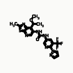 COC(C)c1c(NC(=O)Nc2cnc(-n3cccn3)c(C(F)(F)F)c2)cnc2sc(C)nc12